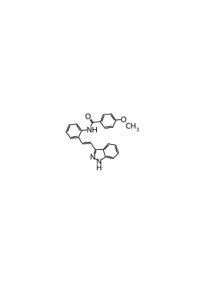 COc1ccc(C(=O)Nc2ccccc2/C=C/c2n[nH]c3ccccc23)cc1